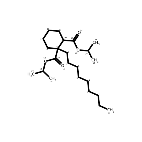 CCCCCCCCCC1(C(=O)OC(C)C)CCCCC1C(=O)OC(C)C